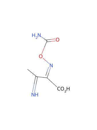 CC(=N)/C(=N\OC(N)=O)C(=O)O